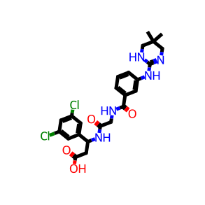 CC1(C)CN=C(Nc2cccc(C(=O)NCC(=O)NC(CC(=O)O)c3cc(Cl)cc(Cl)c3)c2)NC1